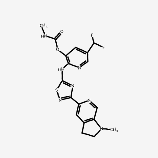 CNC(=O)Oc1cc(C(F)F)cnc1Nc1nc(-c2cc3c(cn2)N(C)CC3)ns1